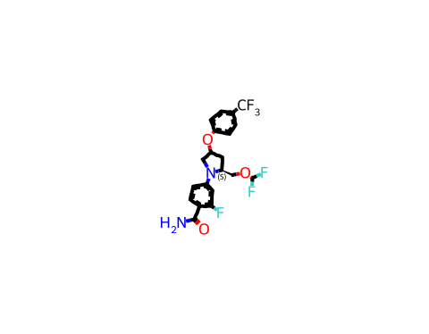 NC(=O)c1ccc(N2CC(Oc3ccc(C(F)(F)F)cc3)C[C@H]2COC(F)F)cc1F